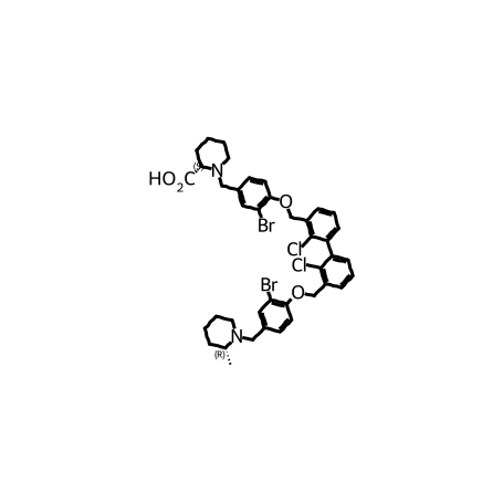 C[C@@H]1CCCCN1Cc1ccc(OCc2cccc(-c3cccc(COc4ccc(CN5CCCC[C@H]5C(=O)O)cc4Br)c3Cl)c2Cl)c(Br)c1